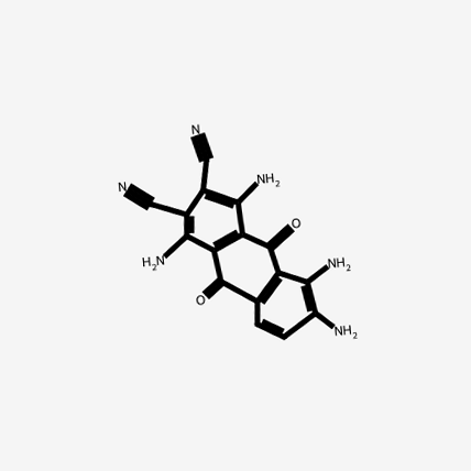 N#Cc1c(N)c2c(c(N)c1C#N)C(=O)c1c(ccc(N)c1N)C2=O